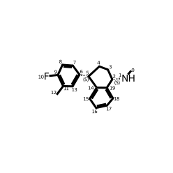 CN[C@H]1CC[C@@H](c2ccc(F)c(C)c2)c2ccccc21